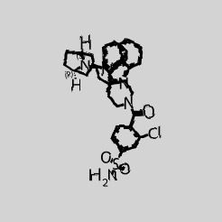 Cc1nc2ccccc2n1C1C[C@H]2CC[C@@H](C1)N2CCC1(c2ccccc2)CCN(C(=O)c2ccc(S(N)(=O)=O)cc2Cl)CC1